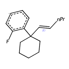 CCC/C=C/C1(c2cc[c]cc2F)CCCCC1